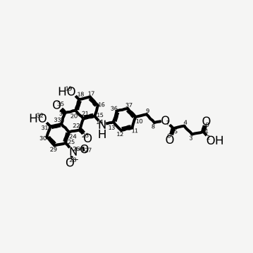 O=C(O)CCC(=O)OCCc1ccc(Nc2ccc(O)c3c2C(=O)c2c([N+](=O)[O-])ccc(O)c2C3=O)cc1